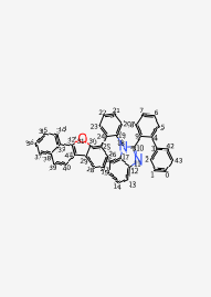 c1ccc(-c2ccccc2-c2nc3ccccc3n2-c2ccccc2-c2cccc3c2oc2c4ccccc4ccc32)cc1